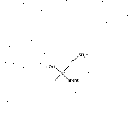 CCCCCCCC[N+](C)(C)CCCCC.O=S(=O)([O-])O